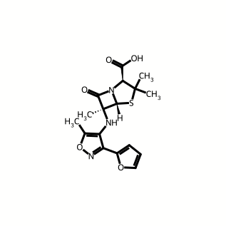 Cc1onc(-c2ccco2)c1N[C@@]1(C)C(=O)N2[C@@H](C(=O)O)C(C)(C)S[C@@H]21